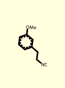 [C-]#[N+]CCc1cccc(OC)c1